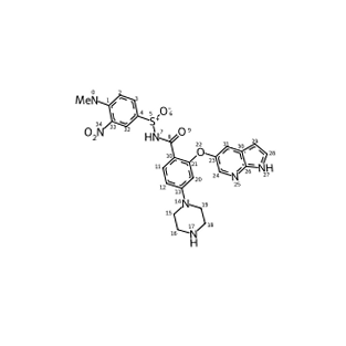 CNc1ccc([S+]([O-])NC(=O)c2ccc(N3CCNCC3)cc2Oc2cnc3[nH]ccc3c2)cc1[N+](=O)[O-]